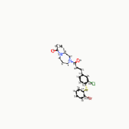 CC(=O)N1CCCN(C(=O)/C=C/c2ccc(Sc3ccccc3Br)c(Cl)c2)CC1